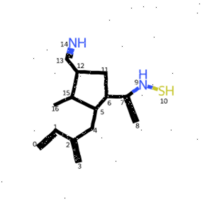 C=CC(=C)CC1C(C(=C)NS)CC(C=N)C1C